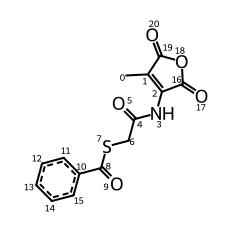 CC1=C(NC(=O)CSC(=O)c2ccccc2)C(=O)OC1=O